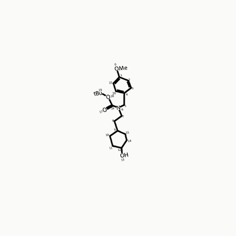 COc1ccc(CN(CCC2CCC(O)CC2)C(=O)OC(C)(C)C)cc1